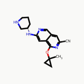 CC1(Oc2nc(C#N)cc3cnc(N[C@H]4CCCNC4)cc23)CC1